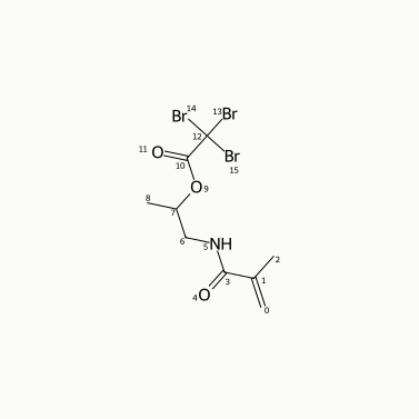 C=C(C)C(=O)NCC(C)OC(=O)C(Br)(Br)Br